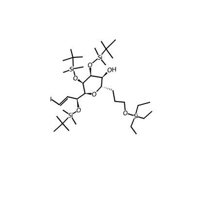 CC[Si](CC)(CC)OCCC[C@@H]1O[C@@H]([C@H](/C=C/I)O[Si](C)(C)C(C)(C)C)[C@@H](O[Si](C)(C)C(C)(C)C)[C@@H](O[Si](C)(C)C(C)(C)C)[C@H]1O